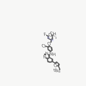 C#C/C=C(\C=C(/C)F)COc1ccc(Nc2ncnc3ccc(-c4ccc(CC(C)(C)C)o4)cc23)cc1Cl